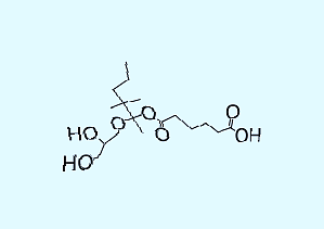 CCCC(C)(C)C(C)(OCC(O)CO)OC(=O)CCCCC(=O)O